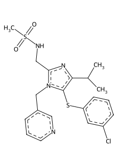 CC(C)c1nc(CNS(C)(=O)=O)n(Cc2cccnc2)c1Sc1cccc(Cl)c1